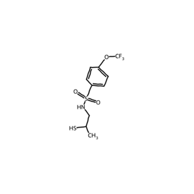 CC(S)CNS(=O)(=O)c1ccc(OC(F)(F)F)cc1